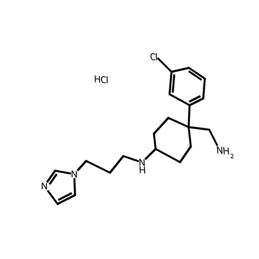 Cl.NCC1(c2cccc(Cl)c2)CCC(NCCCn2ccnc2)CC1